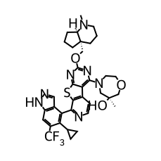 CN1CCC[C@@]2(COc3nc(N4CCOC[C@@](C)(O)C4)c4c(n3)sc3c(-c5c(C6CC6)c(C(F)(F)F)cc6[nH]ncc56)nccc34)CCC[C@@H]12